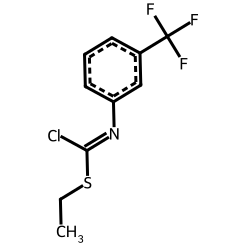 CCS/C(Cl)=N/c1cccc(C(F)(F)F)c1